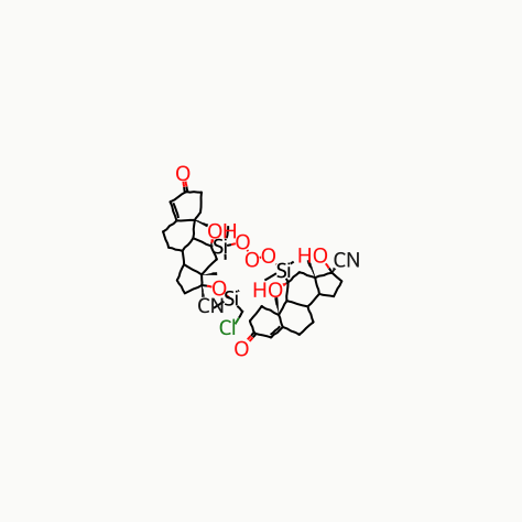 C[C@]12CCC(=O)C=C1CCC1C3CC[C@](O)(C#N)[C@@]3(C)C[C@@](O)([Si](C)(C)OOO[Si](C)(C)[C@]3(O)C[C@@]4(C)C(CC[C@@]4(C#N)O[Si](C)(C)CCl)C4CCC5=CC(=O)CC[C@]5(C)C43)C12